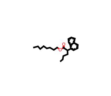 CCCCCCCCOC(=O)C(CCCC)c1cccc2ccccc12